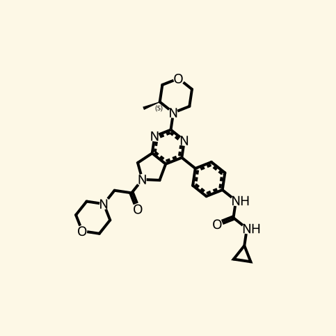 C[C@H]1COCCN1c1nc2c(c(-c3ccc(NC(=O)NC4CC4)cc3)n1)CN(C(=O)CN1CCOCC1)C2